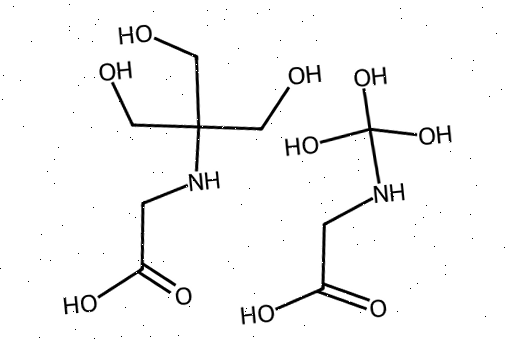 O=C(O)CNC(CO)(CO)CO.O=C(O)CNC(O)(O)O